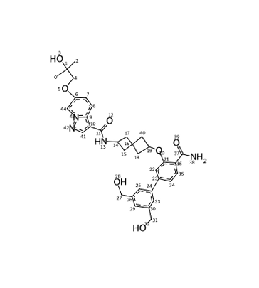 CC(C)(O)COc1ccc2c(C(=O)NC3CC4(C3)CC(Oc3cc(-c5cc(CO)cc(CO)c5)ccc3C(N)=O)C4)cnn2c1